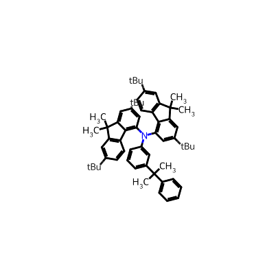 CC(C)(C)c1ccc2c(c1)C(C)(C)c1cc(C(C)(C)C)cc(N(c3cccc(C(C)(C)c4ccccc4)c3)c3cc(C(C)(C)C)cc4c3-c3ccc(C(C)(C)C)cc3C4(C)C)c1-2